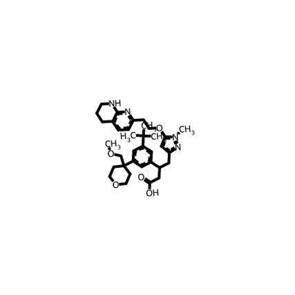 COCC1(c2cc(C(CC(=O)O)Cc3cc(OCCc4ccc5c(n4)NCCC5)n(C)n3)cc(C(C)(C)C)c2)CCOCC1